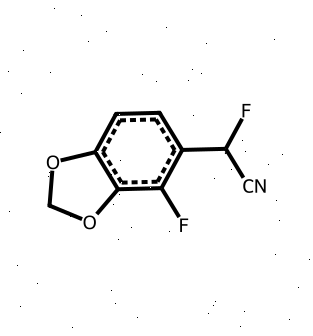 N#C[C](F)c1ccc2c(c1F)OCO2